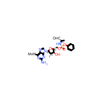 CNc1nc(N)nc2c1ncn2[C@@H]1O[C@H](CO[P@](=O)(N[C@@H](C)C=O)Oc2ccccc2)[C@@H](O)[C@@H]1C